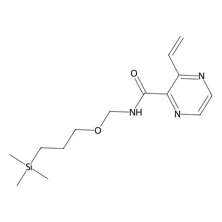 C=Cc1nccnc1C(=O)NCOCCC[Si](C)(C)C